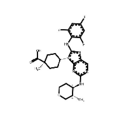 C[C@@H]1COCC[C@H]1Nc1ncc2nc(Nc3c(F)cc(F)cc3Cl)n([C@H]3CC[C@](C)(C(=O)O)CC3)c2n1